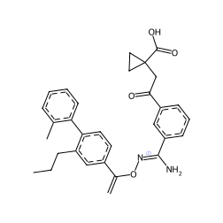 C=C(O/N=C(\N)c1cccc(C(=O)CC2(C(=O)O)CC2)c1)c1ccc(-c2ccccc2C)c(CCC)c1